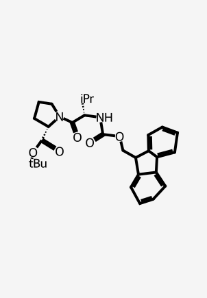 CC(C)[C@H](NC(=O)OCC1c2ccccc2-c2ccccc21)C(=O)N1CCC[C@H]1C(=O)OC(C)(C)C